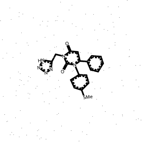 CSc1ccc(-n2c(-c3ccccc3)cc(=O)n(Cc3nnn[nH]3)c2=O)cc1